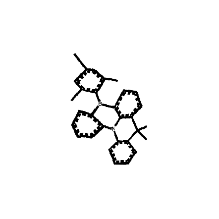 Cc1cc(C)c(B2c3ccccc3N3c4ccccc4C(C)(C)c4cccc2c43)c(C)c1